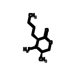 CCCC[C@H]1C(=O)OC[C@H](C)N1P